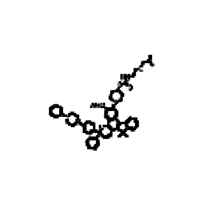 C=C(C)COCCNC(=O)OC1CCN(c2cc3c4c(c5c(c3cc2OC)OC(c2ccccc2)(c2ccc(N3CCN(c6ccccc6)CC3)cc2)C=C5)C(C)(C)c2ccccc2-4)CC1